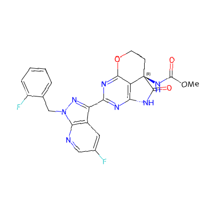 COC(=O)N[C@]12CCOc3nc(-c4nn(Cc5ccccc5F)c5ncc(F)cc45)nc(c31)NC2=O